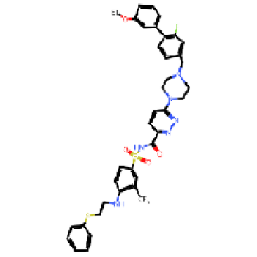 CCOc1cccc(-c2ccc(CN3CCN(c4ccc(C(=O)NS(=O)(=O)c5ccc(NCCSc6ccccc6)c(C(F)(F)F)c5)nn4)CC3)cc2F)c1